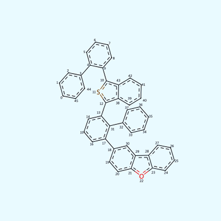 c1ccc(-c2ccccc2-c2sc(-c3cccc(-c4ccc5oc6ccccc6c5c4)c3-c3ccccc3)c3ccccc23)cc1